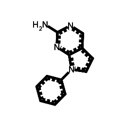 Nc1ncc2ccn(-c3ccccc3)c2n1